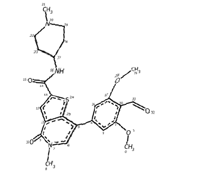 COc1cc(-c2cn(C)c(=O)c3cc(C(=O)NC4CCN(C)CC4)sc23)cc(OC)c1C=O